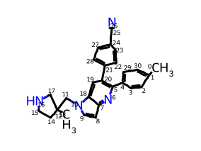 Cc1ccc(-c2nc3ccn(CC4(C)CCNC4)c3cc2-c2ccc(C#N)cc2)cc1